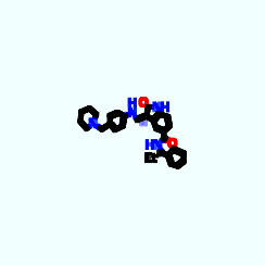 CC[C@H](NC(=O)c1ccc2c(c1)/C(=C/Nc1ccc(CN3CCCCC3)cc1)C(=O)N2)c1ccccc1